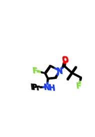 CC(C)NC1CN(C(=O)C(C)(C)CF)C[C@@H]1F